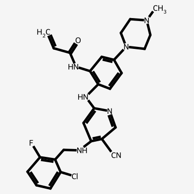 C=CC(=O)Nc1cc(N2CCN(C)CC2)ccc1Nc1cc(NCc2c(F)cccc2Cl)c(C#N)cn1